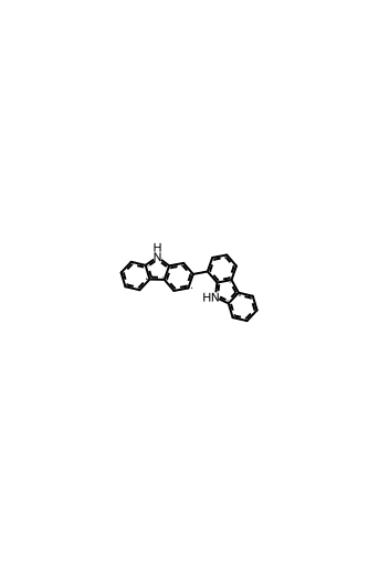 [c]1cc2c(cc1-c1cccc3c1[nH]c1ccccc13)[nH]c1ccccc12